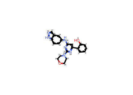 Oc1ccccc1-c1cc(Nc2ccc3[nH]ncc3c2)nc(N2CCOCC2)n1